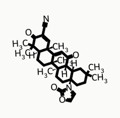 CC1(C)CC[C@]2(n3ccoc3=O)CC[C@]3(C)[C@H](C(=O)C=C4[C@@]5(C)C=C(C#N)C(=O)C(C)(C)[C@@H]5CC[C@]43C)[C@@H]2C1